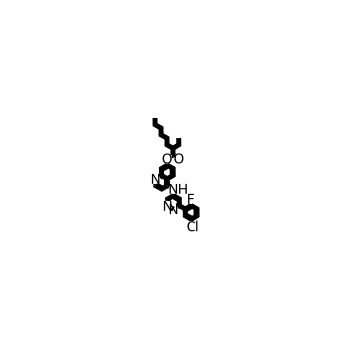 CCCCCCC(CC)C(=O)Oc1ccc2c(Nc3cnnc(-c4cc(Cl)ccc4F)c3)ccnc2c1